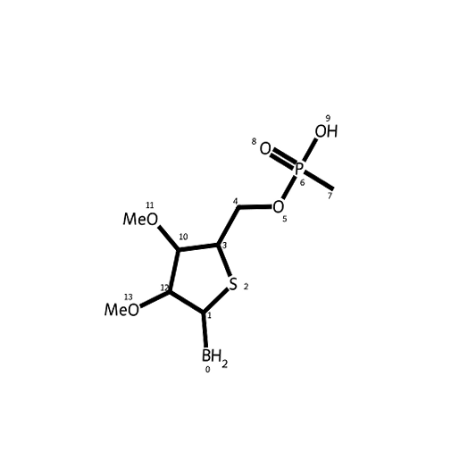 BC1SC(COP(C)(=O)O)C(OC)C1OC